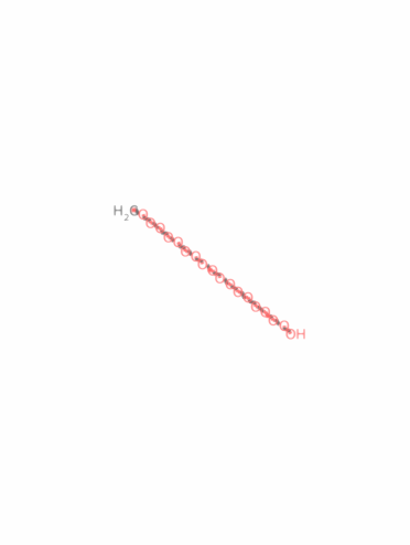 C=CCOCCOCCOCCOCCOCCOCCOCCOCCOCCOCCOCCOCCOCCOCCOCCOCCOCCO